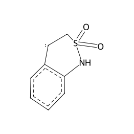 O=S1(=O)C[C]c2ccccc2N1